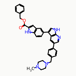 CN1CCN(Cc2ccc(-c3cnc4[nH]cc(-c5ccc6[nH]c(C(=O)OCc7ccccc7)cc6c5)c4c3)cc2)CC1